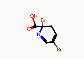 O=C(O)C1(Br)CC=C(Br)C=N1